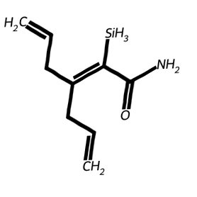 C=CCC(CC=C)=C([SiH3])C(N)=O